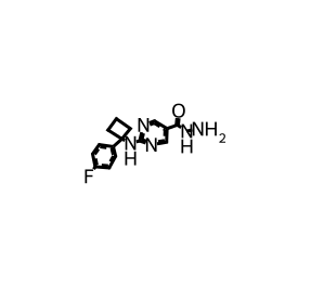 NNC(=O)c1cnc(NC2(c3ccc(F)cc3)CCC2)nc1